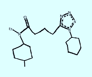 CCN(C(=O)CCCc1nnnn1C1CCCCC1)C1CCC(C)CC1